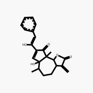 C=C1C(=O)OC2C1CCC(C)C1(O)C=C(C(O)=Cc3ccccc3)C(=O)C21C